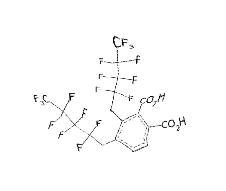 O=C(O)c1ccc(CC(F)(F)C(F)(F)C(F)(F)C(F)(F)F)c(CC(F)(F)C(F)(F)C(F)(F)C(F)(F)F)c1C(=O)O